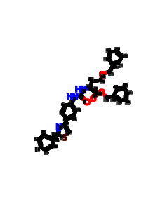 O=C(Nc1ccc(-c2csc(-c3ccccc3)n2)cc1)NC(CCOCc1ccccc1)C(=O)OCc1ccccc1